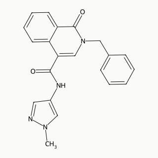 Cn1cc(NC(=O)c2cn(Cc3ccccc3)c(=O)c3ccccc23)cn1